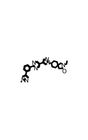 CCN1CC2(CCC(n3cc(-c4cnc(-c5cccc(-c6cnn(C)c6)c5)nc4)cn3)CC2)CC1=O